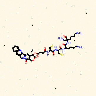 CC[C@]1(OC(=O)CCC(=O)NC(CS)C(=O)NC(CS)C(=O)NC(CCCCN)C(=O)NC(C=O)(CN)CCCCN)C(=O)OCc2c1cc1n(c2=O)Cc2cc3ccccc3nc2-1